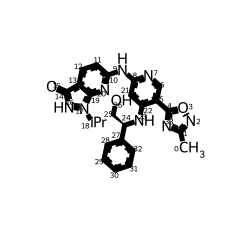 Cc1noc(-c2cnc(Nc3ccc4c(=O)[nH]n(C(C)C)c4n3)cc2N[C@H](CO)c2ccccc2)n1